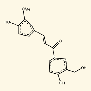 COc1cc(/C=C/C(=O)c2ccc(O)c(CO)c2)ccc1O